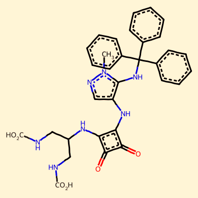 Cn1ncc(Nc2c(NC(CNC(=O)O)CNC(=O)O)c(=O)c2=O)c1NC(c1ccccc1)(c1ccccc1)c1ccccc1